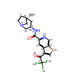 O=C(N[C@@H]1C[C@@H]2CCN(C2)C1)c1cc2c(C(=O)C(F)(F)F)csc2cn1